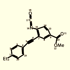 CCc1ccc(C#Cc2cc(C(=O)OC)ccc2N=C=O)cc1